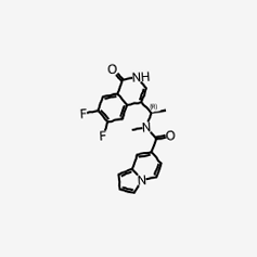 C[C@H](c1c[nH]c(=O)c2cc(F)c(F)cc12)N(C)C(=O)c1ccn2cccc2c1